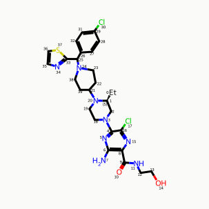 CC[C@H]1CN(c2nc(N)c(C(=O)NCCO)nc2Cl)CCN1C1CCN(C(c2ccc(Cl)cc2)c2nccs2)CC1